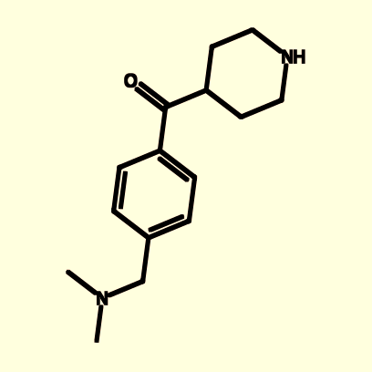 CN(C)Cc1ccc(C(=O)C2CCNCC2)cc1